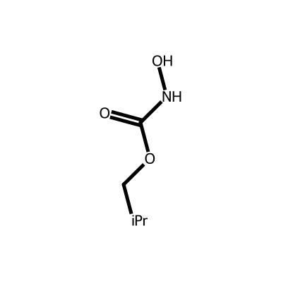 CC(C)COC(=O)NO